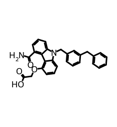 NC(=O)c1cccc2c1c1c(OCC(=O)O)cccc1n2Cc1cccc(Cc2ccccc2)c1